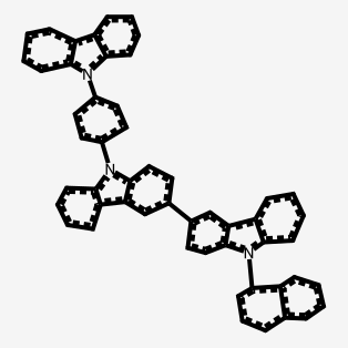 c1ccc2c(-n3c4ccccc4c4cc(-c5ccc6c(c5)c5ccccc5n6-c5ccc(-n6c7ccccc7c7ccccc76)cc5)ccc43)cccc2c1